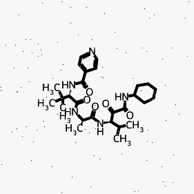 CC(C)[C@@H](NC(=O)[C@H](C)NC(=O)[C@@H](NC(=O)c1ccncc1)C(C)(C)C)C(=O)C(=O)NC1CCCCC1